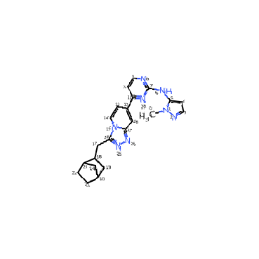 Cn1nccc1Nc1nccc(-c2ccn3c(CC4CC5CCC4C5)nnc3c2)n1